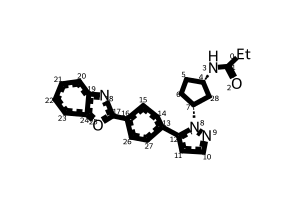 CCC(=O)N[C@H]1CC[C@@H](n2nccc2-c2ccc(-c3nc4ccccc4o3)cc2)C1